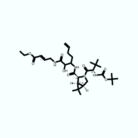 C=CCCC(NC(=O)[C@@H]1[C@H]2[C@@H](CN1C(=O)[C@@H](NC(=O)OC(C)(C)C)C(C)(C)C)C2(C)C)C(O)C(=O)NC/C=C/C(=O)OCC